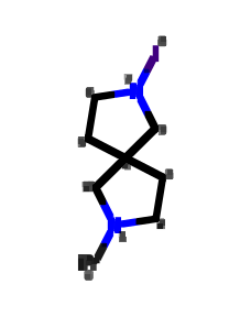 CC(C)N1CCC2(CCN(I)C2)C1